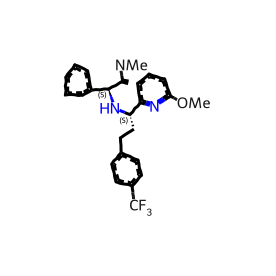 C=C(NC)[C@@H](N[C@@H](CCc1ccc(C(F)(F)F)cc1)c1cccc(OC)n1)c1ccccc1